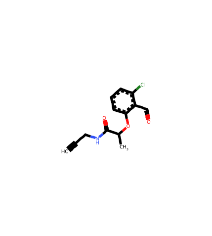 C#CCNC(=O)C(C)Oc1cccc(Cl)c1C=O